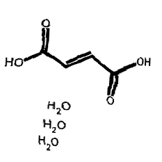 O.O.O.O=C(O)C=CC(=O)O